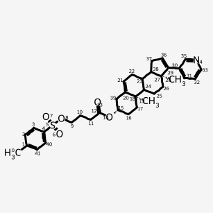 Cc1ccc(S(=O)(=O)OCCCC(=O)O[C@H]2CC[C@@]3(C)C(=CCC4C3CC[C@]3(C)C(c5cccnc5)=CCC43)C2)cc1